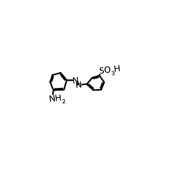 Nc1cccc(N=Nc2cccc(S(=O)(=O)O)c2)c1